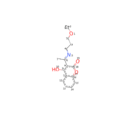 CCOCCC/N=C(\C)c1c(O)c2ccccc2oc1=O